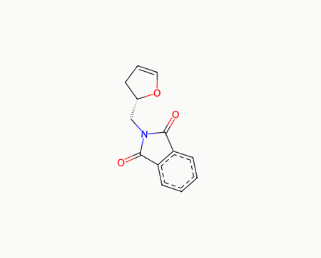 O=C1c2ccccc2C(=O)N1C[C@@H]1CC=CO1